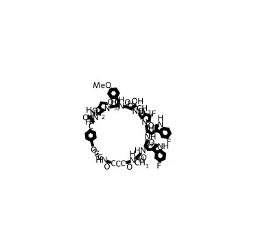 COc1ccc(C[C@@H]2NC(=O)[C@H]([C@@H](C)O)NC(=O)[C@@H]3C[C@H](F)CN3C(=O)[C@H](Cc3c[nH]c4ccc(F)cc34)NC(=O)[C@H](Cc3c[nH]c4ccc(F)cc34)NC(=O)[C@@H](C)NC(=O)CCCC(=O)NCCOc3ccc(cc3)C[C@@H](C(N)=O)NC(=O)[C@]3(C)CCCN3C2=O)cc1